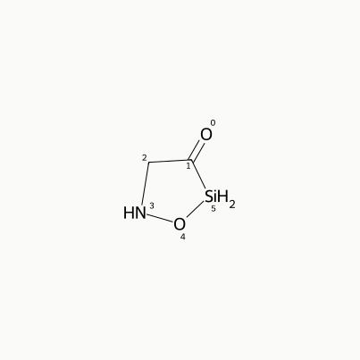 O=C1CNO[SiH2]1